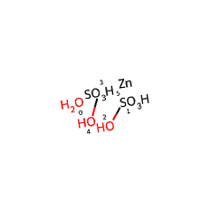 O.O=S(=O)(O)O.O=S(=O)(O)O.[Zn]